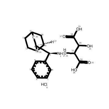 Cl.N[C@@H](c1ccccc1)[C@@H]1CC2CCN1CC2.O=C(O)C(O)C(O)C(=O)O